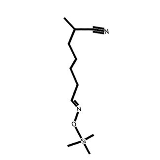 CC(C#N)CCCCC=NO[Si](C)(C)C